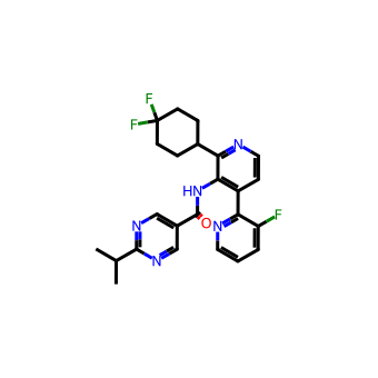 CC(C)c1ncc(C(=O)Nc2c(-c3ncccc3F)ccnc2C2CCC(F)(F)CC2)cn1